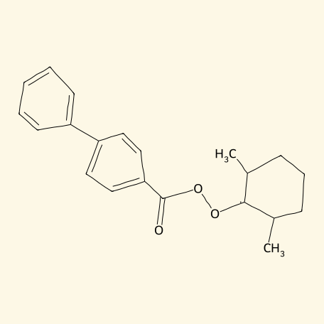 CC1CCCC(C)[C]1OOC(=O)c1ccc(-c2ccccc2)cc1